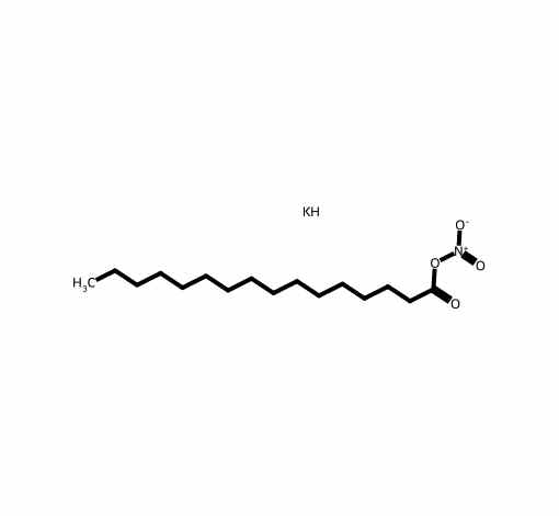 CCCCCCCCCCCCCCCC(=O)O[N+](=O)[O-].[KH]